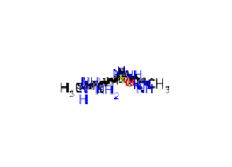 CN/C=C(\C=N)CC(=O)Nc1nnc(CCCC/C(N)=C/C=C(\N)NC)s1